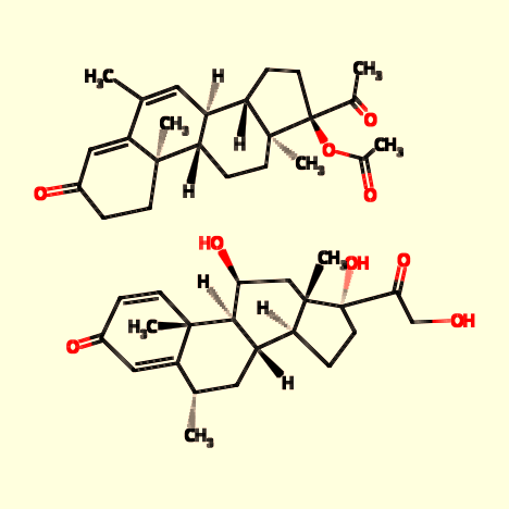 CC(=O)O[C@]1(C(C)=O)CC[C@H]2[C@@H]3C=C(C)C4=CC(=O)CC[C@]4(C)[C@H]3CC[C@@]21C.C[C@H]1C[C@@H]2[C@H]([C@@H](O)C[C@@]3(C)[C@H]2CC[C@]3(O)C(=O)CO)[C@@]2(C)C=CC(=O)C=C12